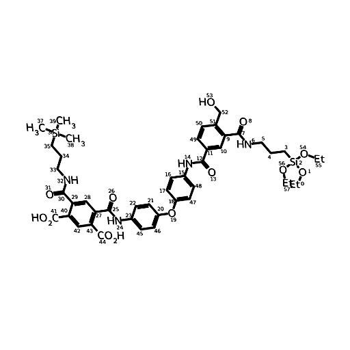 CCO[Si](CCCNC(=O)c1cc(C(=O)Nc2ccc(Oc3ccc(NC(=O)c4cc(C(=O)NCCC[Si](C)(C)C)c(C(=O)O)cc4C(=O)O)cc3)cc2)ccc1CO)(OCC)OCC